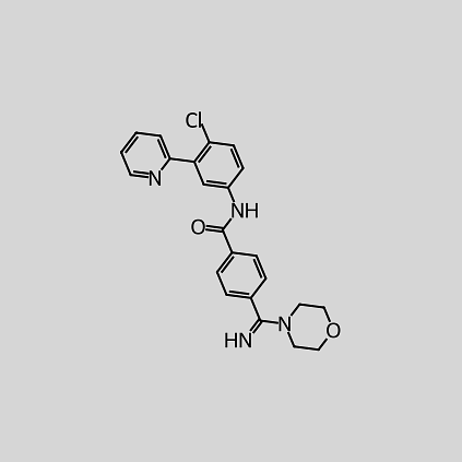 N=C(c1ccc(C(=O)Nc2ccc(Cl)c(-c3ccccn3)c2)cc1)N1CCOCC1